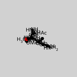 COc1ccc2c3c1O[C@H]1C(OC(=O)N4CCC(C(O)NCCCC[C@H](NC(=O)OCc5ccccc5)C(=O)NCCOc5ccc(C(=O)Oc6ccc(NC(=N)N)cc6)cc5)CC4CNC(=O)[C@H](CCCNC(=N)N)NC(=O)CNC(C)=O)=CC[C@H]4[C@@H](C2)C(C)CC[C@]314